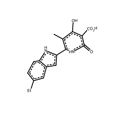 CCc1ccc2[nH]c(-c3[nH]c(=O)c(C(=O)O)c(O)c3C)cc2c1